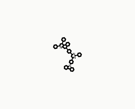 c1ccc(-c2cc(-c3ccccc3)c3c(cc(-c4ccc(-c5cc(-c6ccc(-n7c8ccccc8c8ccccc87)cc6)nc(-c6ccccc6)n5)cc4)c4ccccc43)n2)cc1